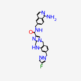 Nc1nccc2cc(CNC(=O)c3cn4c(n3)CNc3cc(Cn5cc(F)cn5)ccc3C4)ccc12